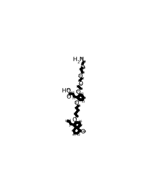 C=CCc1c(OCCCCCOc2cccc(OCCOCCOCCOCCN)c2CCC(=O)O)ccc2c1CCCC2=O